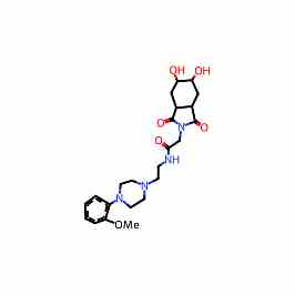 COc1ccccc1N1CCN(CCNC(=O)CN2C(=O)C3CC(O)C(O)CC3C2=O)CC1